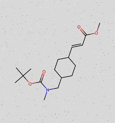 COC(=O)C=CC1CCC(CN(C)C(=O)OC(C)(C)C)CC1